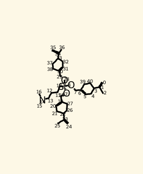 C=C(C)C1CC=C(CO[Si](CCCCN(C)C)(OCC2=CCC(C(=C)C)CC2)OCC2=CCC(C(=C)C)CC2)CC1